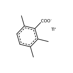 Cc1ccc(C)c(C(=O)[O-])c1C.[Tl+]